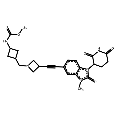 Cn1c(=O)n(C2CCC(=O)NC2=O)c2ccc(C#CC3CN(CC4CC(NC(=O)OC(C)(C)C)C4)C3)cc21